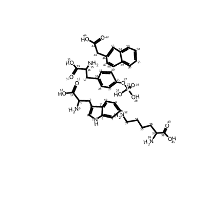 NC(Cc1c[nH]c2ccccc12)C(=O)O.NC(Cc1ccc(OP(=O)(O)O)cc1)C(=O)O.NCCCCC(N)C(=O)O.O=C(O)Cc1ccc2ccccc2c1